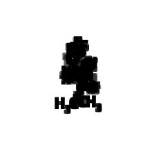 CN(C)C/C=C/C(=O)N1CCC[C@H]1COc1cnccc1-c1[nH]c2cccnc2c1-c1ccc(F)c(OC(F)(F)F)c1